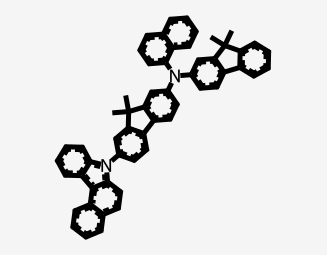 CC1(C)c2ccccc2-c2ccc(N(c3ccc4c(c3)C(C)(C)c3cc(-n5c6ccccc6c6c7ccccc7ccc65)ccc3-4)c3cccc4ccccc34)cc21